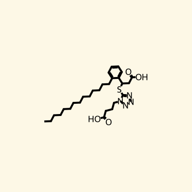 CCCCCCCCCCCCCCc1ccccc1C(CC(=O)O)Sc1nnnn1CCCC(=O)O